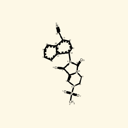 CS(=O)(=O)N1C=C2C(=O)N(c3ccc(C#N)c4ccccc34)C(=O)N2CC1